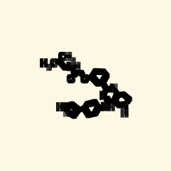 CC(C)CNC(=O)COc1cccc(-c2nc3c(c(Nc4ccc(-c5cn[nH]c5)cc4)n2)CNCC3)c1